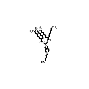 CCCCCCCC(CCCCCCC)C(=O)OCC(COC(=O)C(CCCCCCC)CCCCCCC)N1CC2(CCN(CCCCCO)CC2)C1